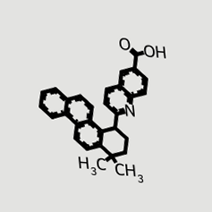 CC1(C)CCC(c2ccc3cc(C(=O)O)ccc3n2)c2c1ccc1c2ccc2ccccc21